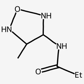 CCC(=O)NC1NONC1C